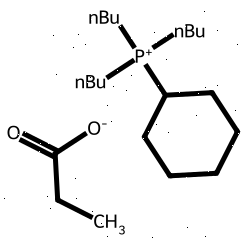 CCC(=O)[O-].CCCC[P+](CCCC)(CCCC)C1CCCCC1